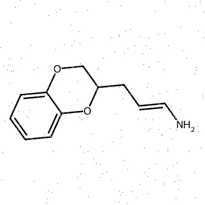 NC=CCC1COc2ccccc2O1